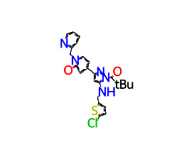 CC(C)(C)C(=O)n1nc(-c2ccn(Cc3ccccn3)c(=O)c2)cc1NCc1ccc(Cl)s1